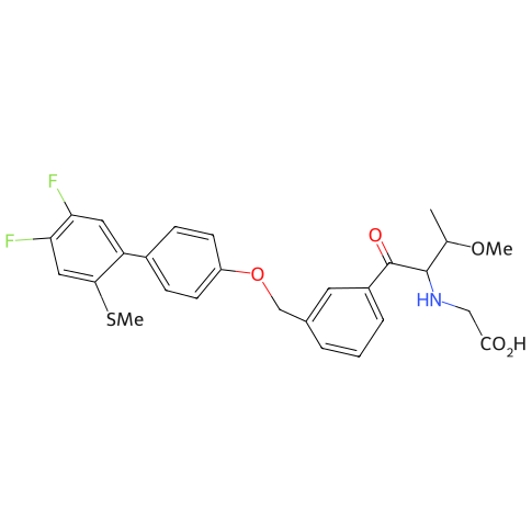 COC(C)C(NCC(=O)O)C(=O)c1cccc(COc2ccc(-c3cc(F)c(F)cc3SC)cc2)c1